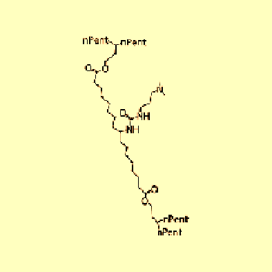 CCCCCC(CCCCC)CCOC(=O)CCCCCCCC(CCCCCCCC(=O)OCCC(CCCCC)CCCCC)NC(=O)NCCCN(C)C